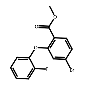 COC(=O)c1ccc(Br)cc1Oc1ccccc1F